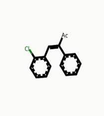 CC(=O)/C(=C/c1ccccc1Cl)c1ccccc1